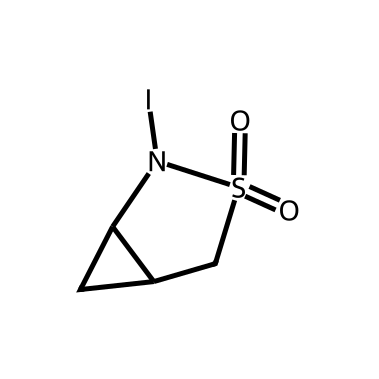 O=S1(=O)CC2CC2N1I